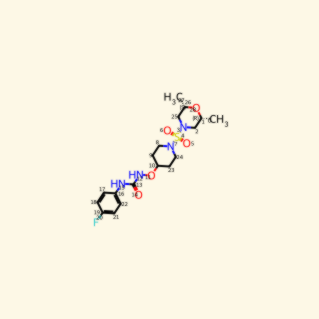 C[C@@H]1CN(S(=O)(=O)N2CCC(ONC(=O)Nc3ccc(F)cc3)CC2)C[C@H](C)O1